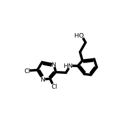 OCCc1ccccc1NCc1ncc(Cl)nc1Cl